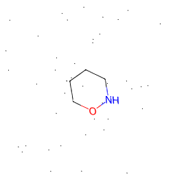 [CH]1CCNOC1